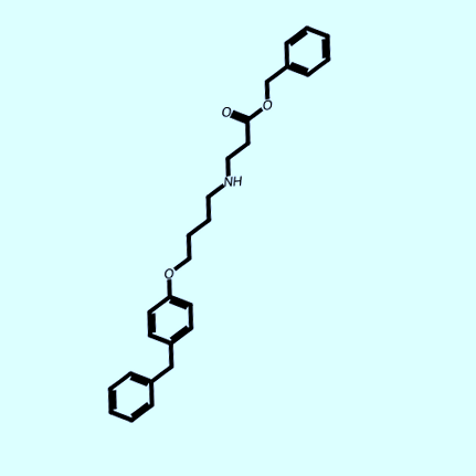 O=C(CCNCCCCOc1ccc(Cc2ccccc2)cc1)OCc1ccccc1